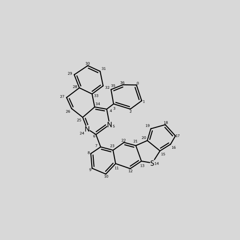 c1ccc(-c2nc(-c3cccc4cc5sc6ccccc6c5cc34)nc3ccc4ccccc4c23)cc1